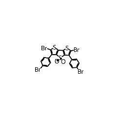 O=S1(=O)c2c(sc(Br)c2-c2ccc(Br)cc2)-c2sc(Br)c(-c3ccc(Br)cc3)c21